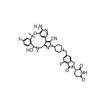 C[C@H]1Oc2cc(cnc2N)-c2c(nn(C3CCN(Cc4cc(F)c5c(c4)CN(C4CCC(=O)NC4=O)C5=O)CC3)c2C#N)CN(C)C(O)c2ccc(F)cc21